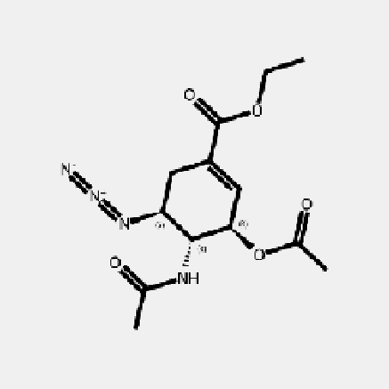 CCOC(=O)C1=C[C@@H](OC(C)=O)[C@H](NC(C)=O)[C@@H](N=[N+]=[N-])C1